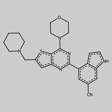 N#Cc1cc(-c2nc(N3CCOCC3)c3sc(CN4CCCCC4)cc3n2)c2cc[nH]c2c1